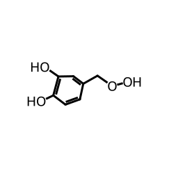 OOCc1ccc(O)c(O)c1